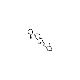 CCc1ccccc1N1CCN(CC(O)COc2ccccc2C)CC1